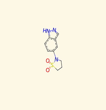 O=S1(=O)CCCN1c1ccc2[nH]ncc2c1